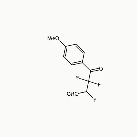 COc1ccc(C(=O)C(F)(F)C(F)C=O)cc1